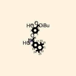 CC(C)COC(=O)c1ccc(OC/C(=N/O)c2ccc3c(c2)C(C)(C)CCC3(C)C)cc1O